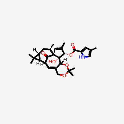 CC1=C[C@]23C(=O)[C@@H](C=C4COC(C)(C)O[C@H]4[C@]2(O)[C@H]1OC(=O)c1cc(C)c[nH]1)[C@H]1[C@@H](C[C@H]3C)C1(C)C